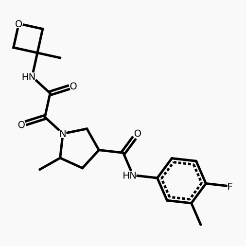 Cc1cc(NC(=O)C2CC(C)N(C(=O)C(=O)NC3(C)COC3)C2)ccc1F